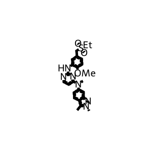 CCS(=O)(=O)Cc1ccc(OC)c(Nc2nccc(N(C)c3ccc4c(C)n(C)nc4c3)n2)c1